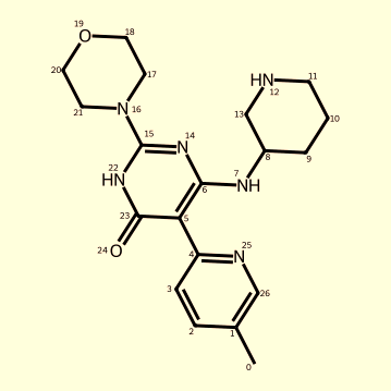 Cc1ccc(-c2c(NC3CCCNC3)nc(N3CCOCC3)[nH]c2=O)nc1